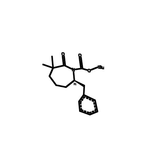 CC(C)(C)OC(=O)N1C(=O)C(C)(C)CCC[C@@H]1Cc1ccccc1